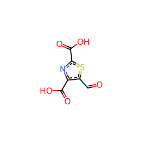 O=Cc1sc(C(=O)O)nc1C(=O)O